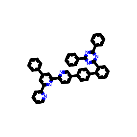 c1ccc(-c2cc(-c3ccccn3)nc(-c3ccc(-c4ccc(-c5ccccc5-c5nc(-c6ccccc6)nc(-c6ccccc6)n5)cc4)cn3)c2)cc1